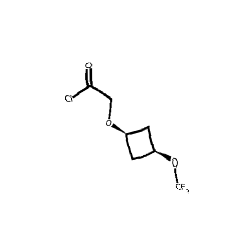 O=C(Cl)CO[C@H]1C[C@@H](OC(F)(F)F)C1